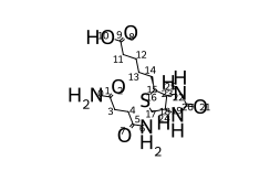 NC(=O)CCC(N)=O.O=C(O)CCCC[C@@H]1SC[C@@H]2NC(=O)N[C@@H]21